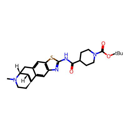 CN1CC[C@]23CCCC[C@H]2[C@H]1Cc1cc2sc(NC(=O)C4CCN(C(=O)OC(C)(C)C)CC4)nc2cc13